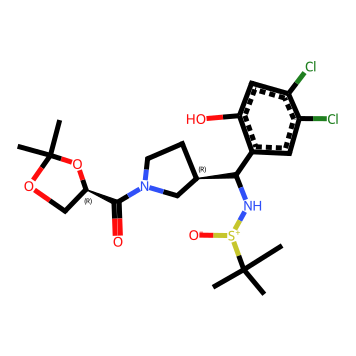 CC1(C)OC[C@H](C(=O)N2CC[C@@H](C(N[S+]([O-])C(C)(C)C)c3cc(Cl)c(Cl)cc3O)C2)O1